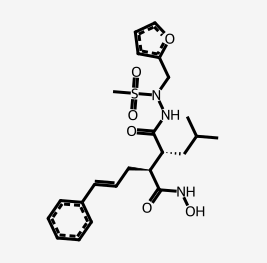 CC(C)C[C@@H](C(=O)NN(Cc1ccco1)S(C)(=O)=O)[C@H](CC=Cc1ccccc1)C(=O)NO